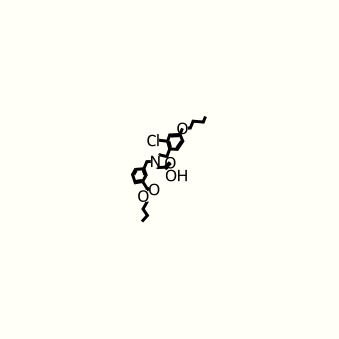 CCCCOC(=O)c1cccc(CN(CCc2ccc(OCCCC)cc2Cl)CC(=O)O)c1